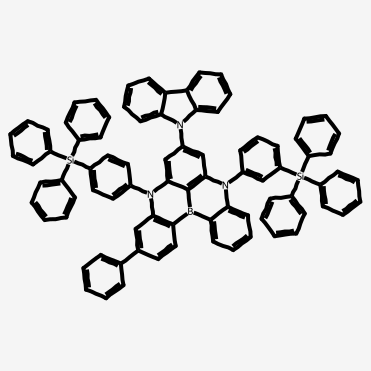 c1ccc(-c2ccc3c(c2)N(c2ccc([Si](c4ccccc4)(c4ccccc4)c4ccccc4)cc2)c2cc(-n4c5ccccc5c5ccccc54)cc4c2B3c2ccccc2N4c2cccc([Si](c3ccccc3)(c3ccccc3)c3ccccc3)c2)cc1